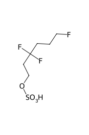 O=S(=O)(O)OCCC(F)(F)CCCF